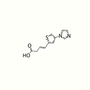 O=C(O)CC=Cc1cc(-n2ccnc2)cs1